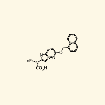 CCCN(C(=O)O)c1cn2nc(OCc3cccc4ccccc34)ccc2n1